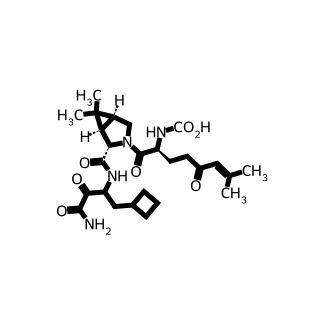 CC(C)=CC(=O)CC[C@H](NC(=O)O)C(=O)N1C[C@H]2[C@@H]([C@H]1C(=O)NC(CC1CCC1)C(=O)C(N)=O)C2(C)C